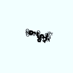 CC(C)Oc1ncnc(C2CC2)c1-c1ccc2c(n1)C1(CCCC1)CN2C(=O)NCc1ccc(S(C)(=O)=O)cc1